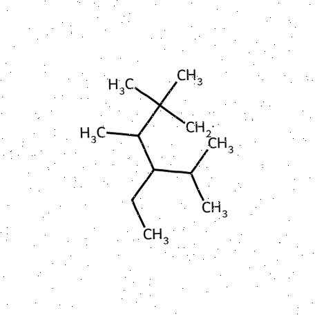 [CH2]C(C)(C)C(C)C(CC)C(C)C